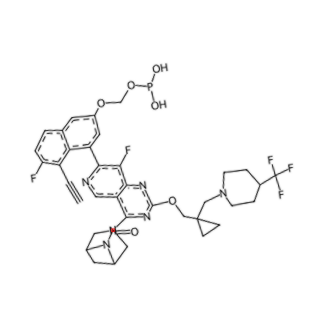 C#Cc1c(F)ccc2cc(OCOP(O)O)cc(-c3ncc4c(N5CC6CC(C5)N6C=O)nc(OCC5(CN6CCC(C(F)(F)F)CC6)CC5)nc4c3F)c12